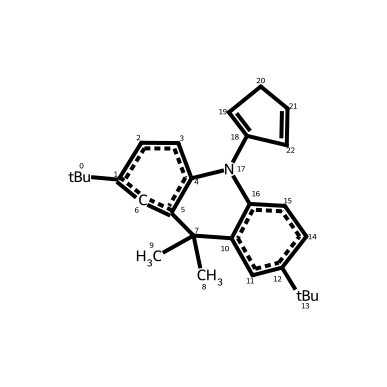 CC(C)(C)c1ccc2c(c1)C(C)(C)c1cc(C(C)(C)C)ccc1N2C1=CCC=C1